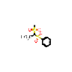 CS(=O)(=O)C(C(=O)O)S(=O)(=O)c1ccccc1